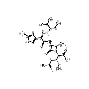 CC[C@H](CC(=O)O)[C@@H](C(=O)O)N1C(=O)[C@@H](NC(=O)/C(=N\O[C@H](CO)C(=O)O)c2csc(N)n2)[C@H]1C